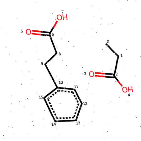 CCC(=O)O.O=C(O)CCc1ccccc1